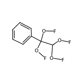 FO[C](OF)C(OF)(OF)c1ccccc1